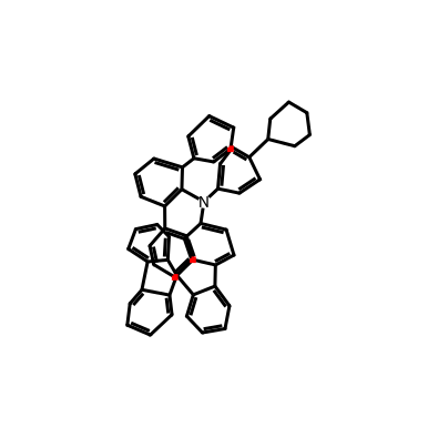 c1ccc(-c2cccc(-c3ccccc3)c2N(c2ccc(C3CCCCC3)cc2)c2ccc3c(c2)C2(c4ccccc4-c4ccccc42)c2ccccc2-3)cc1